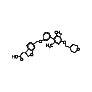 Cc1cc(OCC2CCOCC2)cc(C)c1-c1cccc(OCc2ccc3c(c2)OCC3CC(=O)O)c1